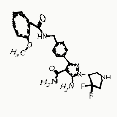 COc1ccccc1C(=O)NCc1ccc(-c2nn([C@H]3CNCC3(F)F)c(N)c2C(N)=O)cc1